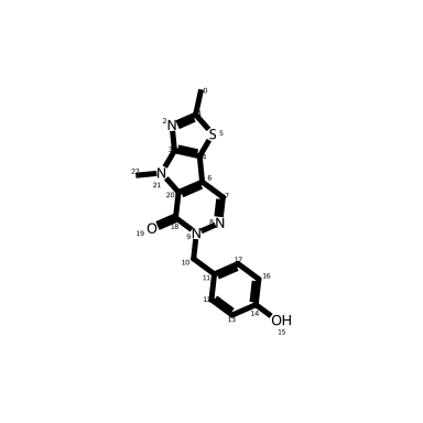 Cc1nc2c(s1)c1cnn(Cc3ccc(O)cc3)c(=O)c1n2C